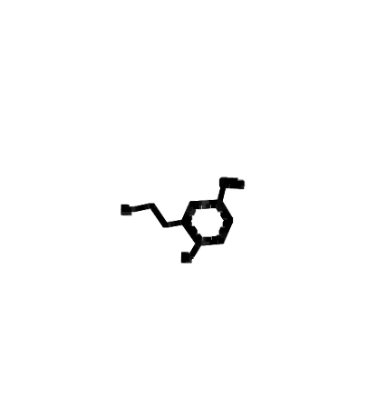 COc1ccc(Br)c(CCBr)c1